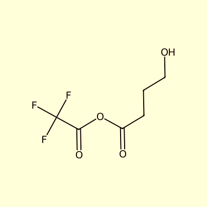 O=C(CCCO)OC(=O)C(F)(F)F